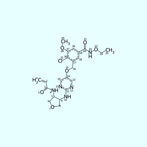 C=CC(=O)NC1COCC1Nc1ncc(OCc2cc(C(=O)NOCC)cc(OC)c2Cl)cn1